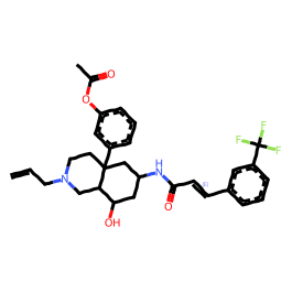 C=CCN1CCC2(c3cccc(OC(C)=O)c3)CC(NC(=O)/C=C/c3cccc(C(F)(F)F)c3)CC(O)C2C1